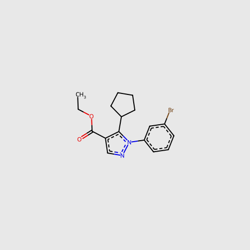 CCOC(=O)c1cnn(-c2cccc(Br)c2)c1C1CCCC1